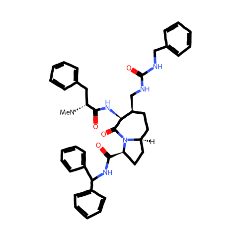 CN[C@H](Cc1ccccc1)C(=O)N[C@@H]1C(=O)N2[C@@H](CC[C@@H]1CNC(=O)NCc1ccccc1)CC[C@H]2C(=O)NC(c1ccccc1)c1ccccc1